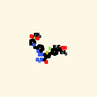 CC(C)(O)c1ccc(-c2cc(C(N)=O)c(Nc3cccc(CN4CCC(S(C)(=O)=O)C4)n3)s2)c(F)c1